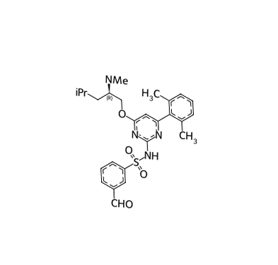 CN[C@@H](COc1cc(-c2c(C)cccc2C)nc(NS(=O)(=O)c2cccc(C=O)c2)n1)CC(C)C